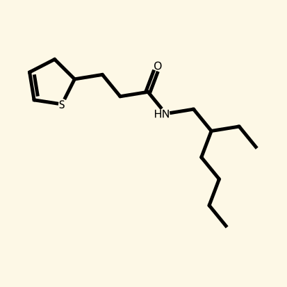 CCCCC(CC)CNC(=O)CCC1CC=CS1